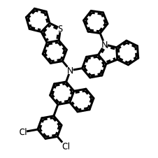 Clc1cc(Cl)cc(-c2ccc(N(c3ccc4c(c3)sc3ccccc34)c3ccc4c5ccccc5n(-c5ccccc5)c4c3)c3ccccc23)c1